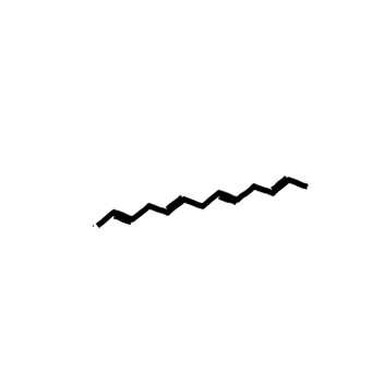 [CH2]C=CCC=CCC=CCC=CC